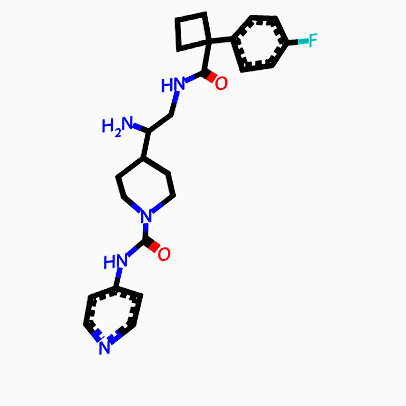 NC(CNC(=O)C1(c2ccc(F)cc2)CCC1)C1CCN(C(=O)Nc2ccncc2)CC1